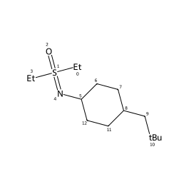 CCS(=O)(CC)=NC1CCC(CC(C)(C)C)CC1